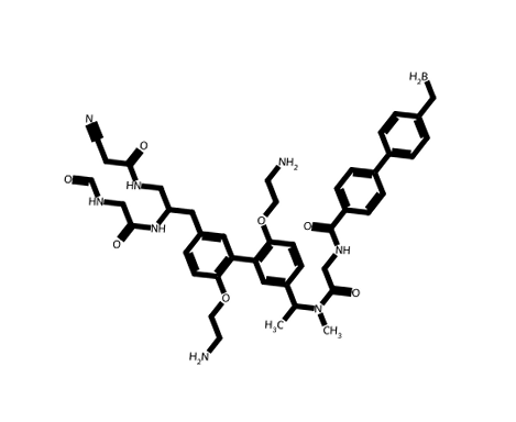 BCc1ccc(-c2ccc(C(=O)NCC(=O)N(C)C(C)c3ccc(OCCN)c(-c4cc(CC(CNC(=O)CC#N)NC(=O)CNC=O)ccc4OCCN)c3)cc2)cc1